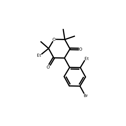 CCc1cc(Br)ccc1C1C(=O)C(C)(C)OC(C)(CC)C1=O